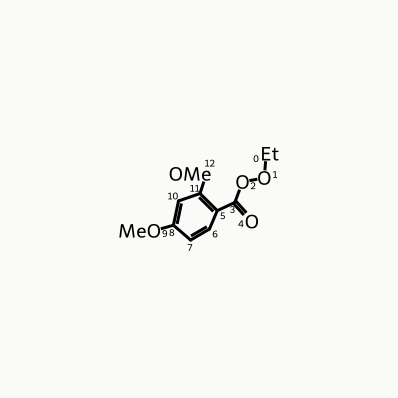 [CH2]COOC(=O)c1ccc(OC)cc1OC